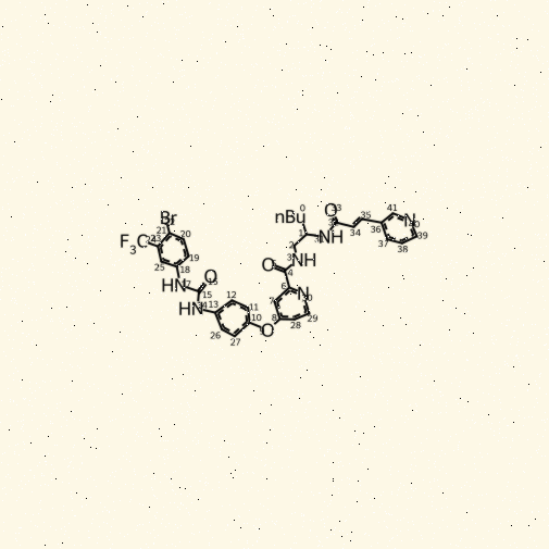 CCCCC(CNC(=O)c1cc(Oc2ccc(NC(=O)Nc3ccc(Br)c(C(F)(F)F)c3)cc2)ccn1)NC(=O)C=Cc1cccnc1